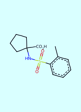 Cc1ccccc1S(=O)(=O)NC1(C(=O)O)CCCC1